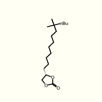 CCCCC(C)(C)CCCCCCCC[C@H]1COC(=O)O1